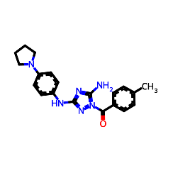 Cc1ccc(C(=O)n2nc(Nc3ccc(N4CCCC4)cc3)nc2N)cc1